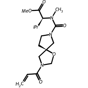 C=CC(=O)N1CO[C@]2(CCN(C(=O)N(C)[C@H](C(=O)OC)C(C)C)C2)C1